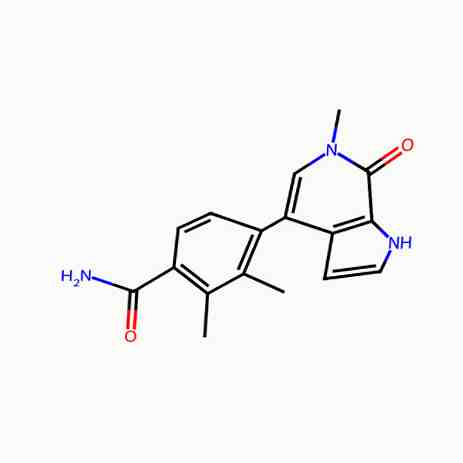 Cc1c(C(N)=O)ccc(-c2cn(C)c(=O)c3[nH]ccc23)c1C